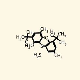 Cc1cc(Sc2cc(C)cc(C(C)(C)C)c2O)c(O)c(C(C)(C)C)c1.S